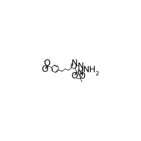 COC(=O)c1ccc(CCCc2cn(C)c3nc(N)n(OC(C)C)c(=O)c23)cc1